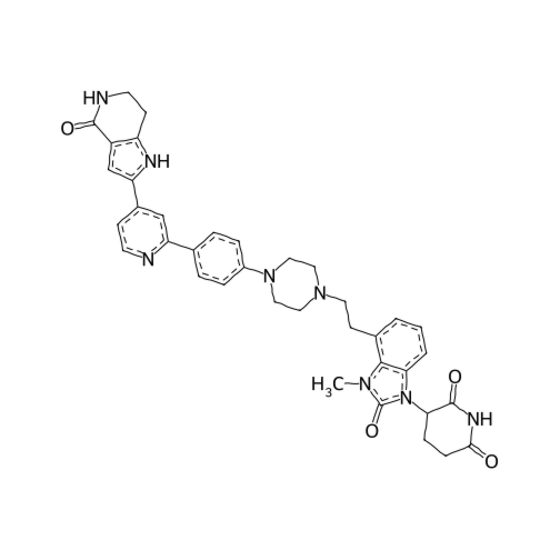 Cn1c(=O)n(C2CCC(=O)NC2=O)c2cccc(CCN3CCN(c4ccc(-c5cc(-c6cc7c([nH]6)CCNC7=O)ccn5)cc4)CC3)c21